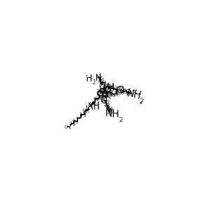 CCCCCCCCCCCCCNCCCC[C@H]1CC[C@H]2[C@H]3C(C[C@H](OCCCN)[C@]12C)[C@@]1(C)CC[C@@H](OCCCN)C[C@H]1C[C@H]3OCCCN